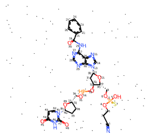 N#CCCOP(O)(=S)OC[C@H]1O[C@@H](n2cnc3c(NC(=O)c4ccccc4)ncnc32)C[C@@H]1OPOC[C@@H]1CC[C@H](n2ccc(=O)[nH]c2=O)O1